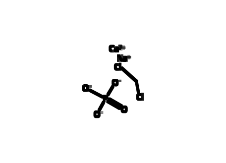 ClCCl.O=P([O-])([O-])[O-].[Ca+2].[Na+]